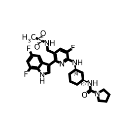 CS(=O)(=O)NCc1cc(F)c(N[C@@H]2CCC[C@H](NC(=O)N3CCCC3)C2)nc1-c1c[nH]c2c(F)cc(F)cc12